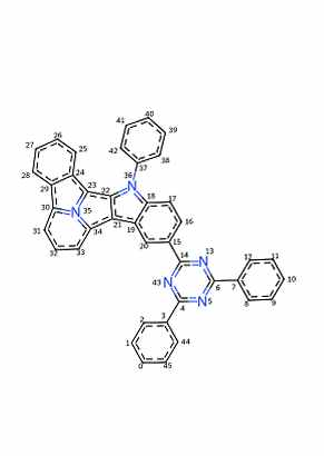 c1ccc(-c2nc(-c3ccccc3)nc(-c3ccc4c(c3)c3c(c5c6ccccc6c6cccc3n65)n4-c3ccccc3)n2)cc1